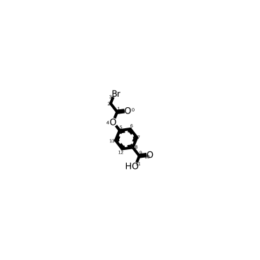 O=C(CBr)Oc1ccc(C(=O)O)cc1